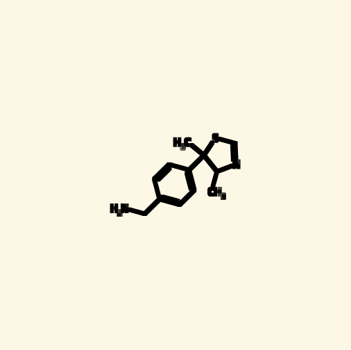 CC1N=CSC1(C)c1ccc(CN)cc1